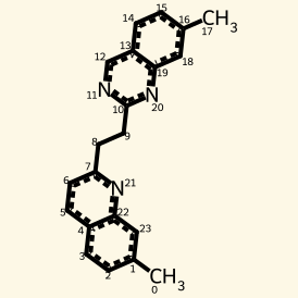 Cc1ccc2ccc(CCc3ncc4ccc(C)cc4n3)nc2c1